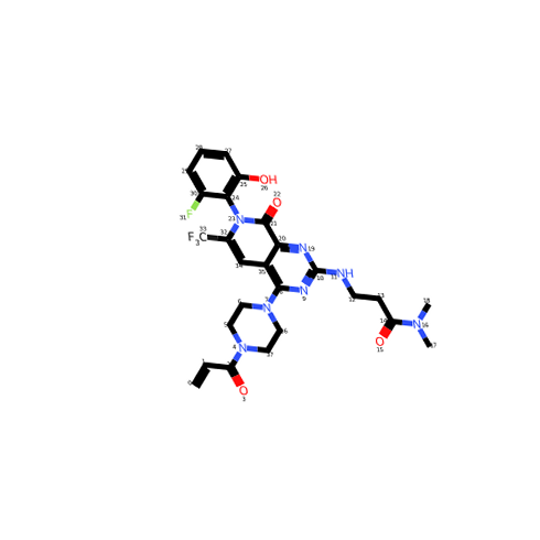 C=CC(=O)N1CCN(c2nc(NCCC(=O)N(C)C)nc3c(=O)n(-c4c(O)cccc4F)c(C(F)(F)F)cc23)CC1